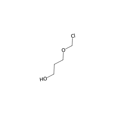 OCCCOCCl